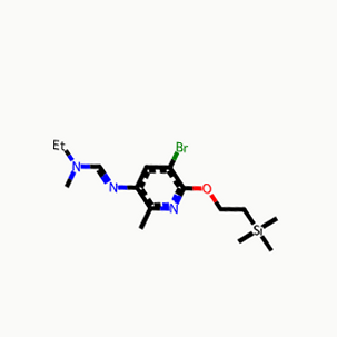 CCN(C)/C=N/c1cc(Br)c(OCC[Si](C)(C)C)nc1C